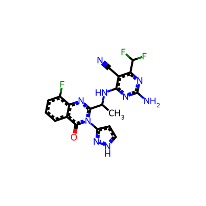 CC(Nc1nc(N)nc(C(F)F)c1C#N)c1nc2c(F)cccc2c(=O)n1-c1cc[nH]n1